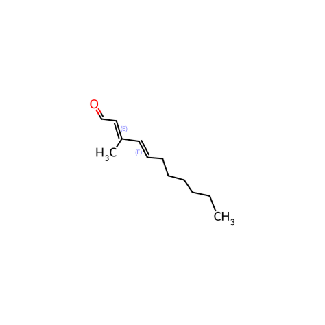 CCCCCC/C=C/C(C)=C/C=O